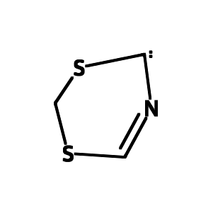 [C]1N=CSCS1